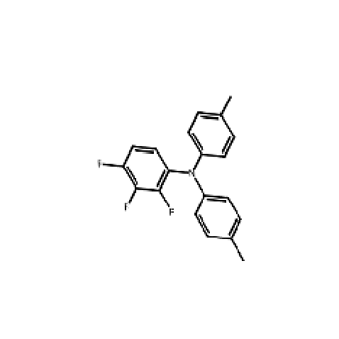 Cc1ccc(N(c2ccc(C)cc2)c2ccc(F)c(F)c2F)cc1